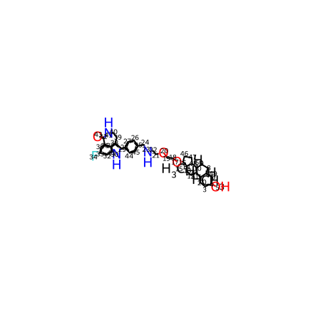 C[C@]12CCC(O)C[C@@H]1CC[C@@H]1[C@@H]2CC[C@]2(C)[C@@H](OCCOCCNCc3ccc(-c4[nH]c5cc(F)cc6c5c4CCNC6=O)cc3)CC[C@@H]12